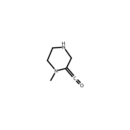 CN1CCNCC1=C=O